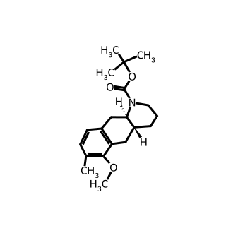 COc1c(C)ccc2c1C[C@H]1CCCN(C(=O)OC(C)(C)C)[C@@H]1C2